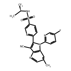 Cc1cnc2c(C#N)c(-c3ccc(S(=O)(=O)N[C@@H](C)C(F)(F)F)cn3)n(-c3ccc(F)cn3)c2c1